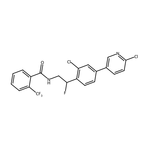 O=C(NCC(F)c1ccc(-c2ccc(Cl)nc2)cc1Cl)c1ccccc1C(F)(F)F